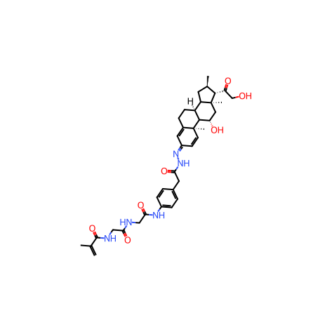 C=C(C)C(=O)NCC(=O)NCC(=O)Nc1ccc(CC(=O)N/N=C2\C=C[C@@]3(C)C(=C2)CC[C@@H]2C3[C@@H](O)C[C@@]3(C)C2C[C@@H](C)[C@@H]3C(=O)CO)cc1